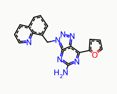 Nc1nc(-c2ccco2)c2nnn(Cc3cccc4cccnc34)c2n1